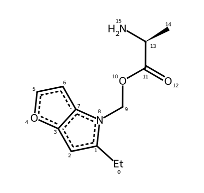 CCc1cc2occc2n1COC(=O)[C@H](C)N